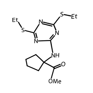 CCSc1nc(NC2(C(=O)OC)CCCC2)nc(SCC)n1